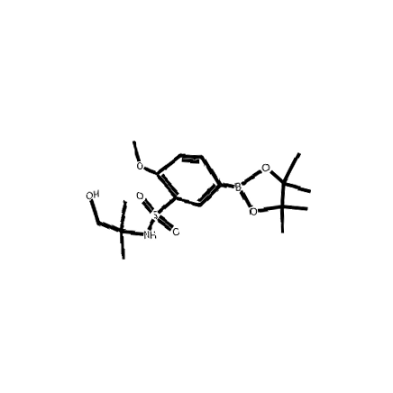 COc1ccc(B2OC(C)(C)C(C)(C)O2)cc1S(=O)(=O)NC(C)(C)CO